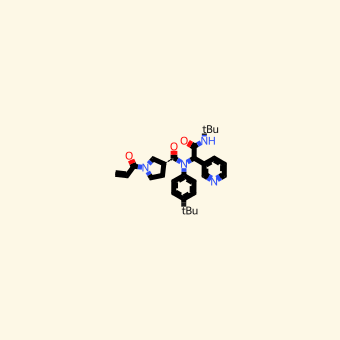 C=CC(=O)N1CC[C@@H](C(=O)N(c2ccc(C(C)(C)C)cc2)C(C(=O)NC(C)(C)C)c2cccnc2)C1